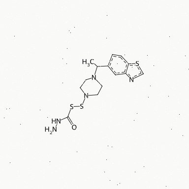 CC(c1ccc2scnc2c1)N1CCN(SSC(=O)NN)CC1